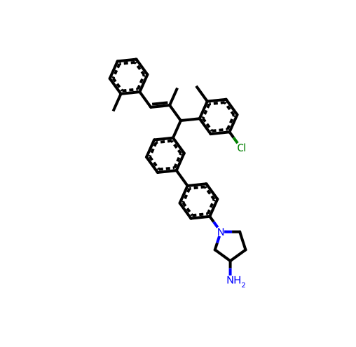 C/C(=C\c1ccccc1C)C(c1cccc(-c2ccc(N3CCC(N)C3)cc2)c1)c1cc(Cl)ccc1C